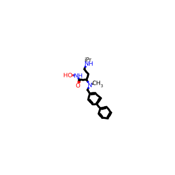 CC(C)NCCC(C(=O)NO)N(C)Cc1ccc(-c2ccccc2)cc1